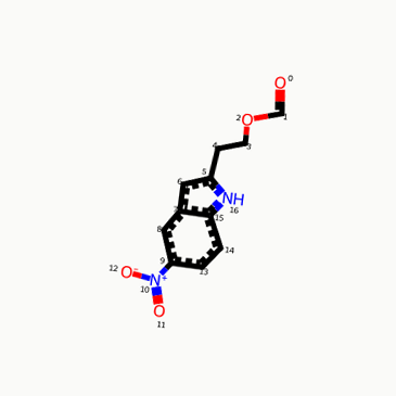 O=COCCc1cc2cc([N+](=O)[O-])ccc2[nH]1